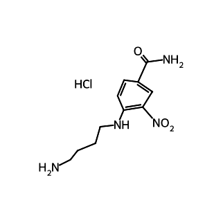 Cl.NCCCCNc1ccc(C(N)=O)cc1[N+](=O)[O-]